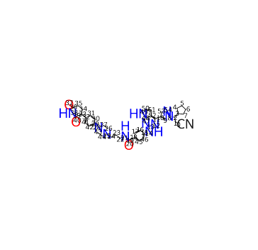 N#CC[C@H](C1CCCC1)n1cc(-c2nc(Nc3ccc(C(=O)NCCCN4CCN(c5ccc(C6CCC(=O)NC6=O)cc5)CC4)cc3)nc3[nH]ccc23)cn1